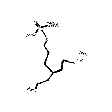 CCCCCCCCCCCCC(CCCCCCCCCCCC)CCCOP(=O)(OC)OC.N